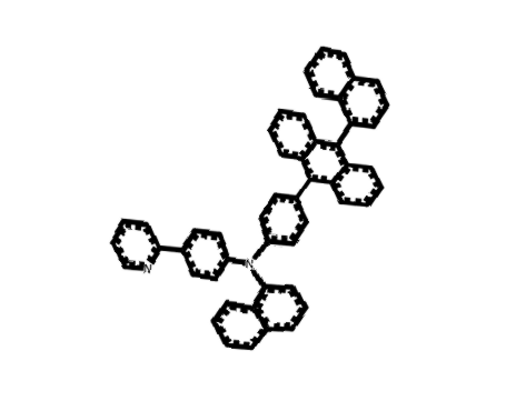 c1ccc(-c2ccc(N(c3ccc(-c4c5ccccc5c(-c5cccc6ccccc56)c5ccccc45)cc3)c3cccc4ccccc34)cc2)nc1